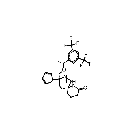 C[C@@H](OC[C@@]1(C2C=CC=CC2)CC[C@]2(CCCC(=O)N2)CN1)c1cc(C(F)(F)F)cc(C(F)(F)F)c1